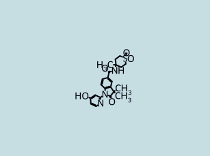 CC1(NC(=O)c2ccc3c(c2)C(C)(C)C(=O)N3c2cc(O)ccn2)CCS(=O)(=O)CC1